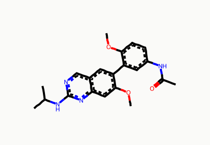 COc1ccc(NC(C)=O)cc1-c1cc2cnc(NC(C)C)nc2cc1OC